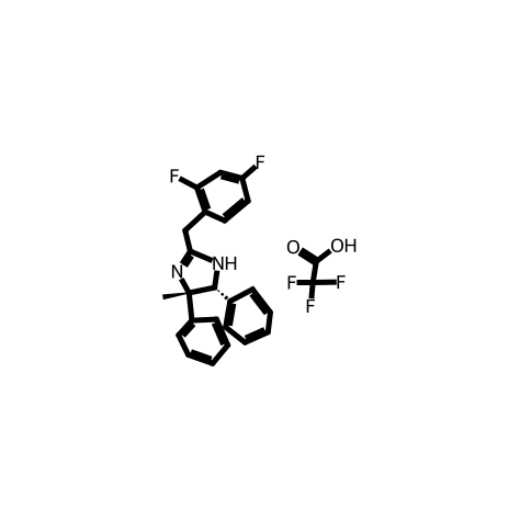 C[C@@]1(c2ccccc2)N=C(Cc2ccc(F)cc2F)N[C@@H]1c1ccccc1.O=C(O)C(F)(F)F